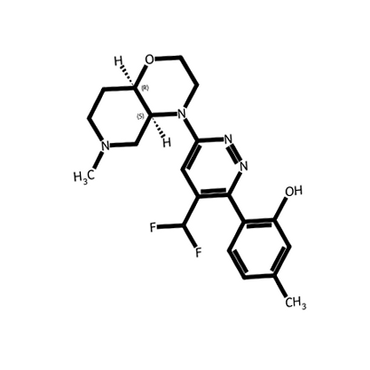 Cc1ccc(-c2nnc(N3CCO[C@@H]4CCN(C)C[C@@H]43)cc2C(F)F)c(O)c1